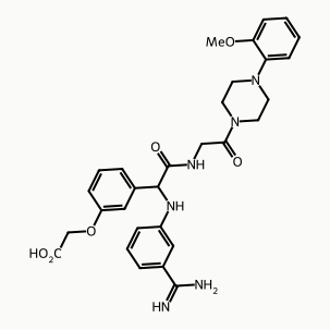 COc1ccccc1N1CCN(C(=O)CNC(=O)C(Nc2cccc(C(=N)N)c2)c2cccc(OCC(=O)O)c2)CC1